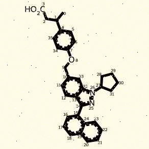 CC(CC(=O)O)c1ccc(OCc2ccc3c(-c4cccc5ccccc45)nn(C4CCCC4)c3c2)cc1